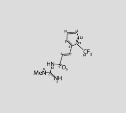 CNC(=N)NC(=O)C=Cc1ccccc1C(F)(F)F